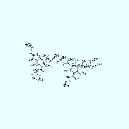 Cc1c(C(=O)NCCO)c(I)c(N(C=O)CC(O)CC(O)CN(C=O)c2c(C)c(C(=O)NC(CO)CO)c(I)c(C(=O)NCCO)c2I)c(I)c1C(=O)NC(CO)CO